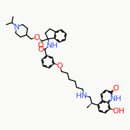 CC(C)N1CCC(COC(=O)C2(NC(=O)c3cccc(OCCCCCCNC[C@H](C)c4ccc(O)c5[nH]c(=O)ccc45)c3)CCc3ccccc32)CC1